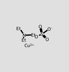 CCN(CC)CC.O=S(=O)([O-])[O-].[Cu+2]